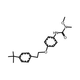 CON(C)C(=O)Nc1ccc(OCCc2ccc(C(C)(C)C)cc2)cc1